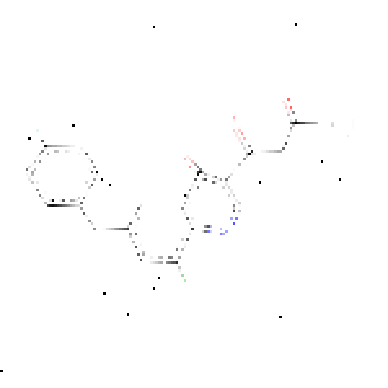 O=C(O)C(=O)CC(=O)c1c[nH]c2c(Cl)cc(Cc3ccc(F)cc3)cc2c1=O